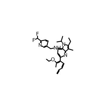 C=C/C=C\C(=C(/C)OCC)c1cc(NCc2ccc(C(F)F)nc2)c2c(n1)c(C)c(CC)n2C(C)C